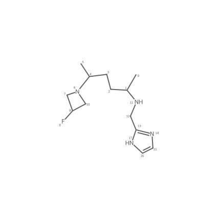 CC(CCC(C)N1CC(F)C1)NCc1ncc[nH]1